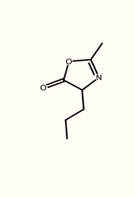 CCCC1N=C(C)OC1=O